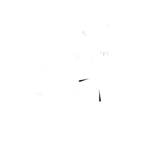 CS(=O)(=O)c1csc([C@@]2(C(=O)Nc3nccs3)C[C@H]2C2CCCC2)c1